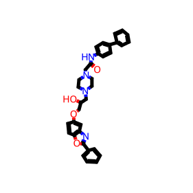 O=C(CN1CCN(CC(O)COc2ccc3oc(-c4ccccc4)nc3c2)CC1)Nc1ccc(-c2ccccc2)cc1